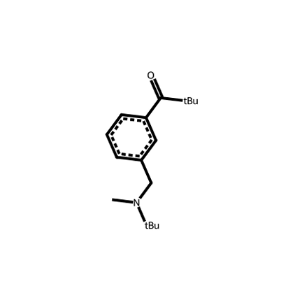 CN(Cc1cccc(C(=O)C(C)(C)C)c1)C(C)(C)C